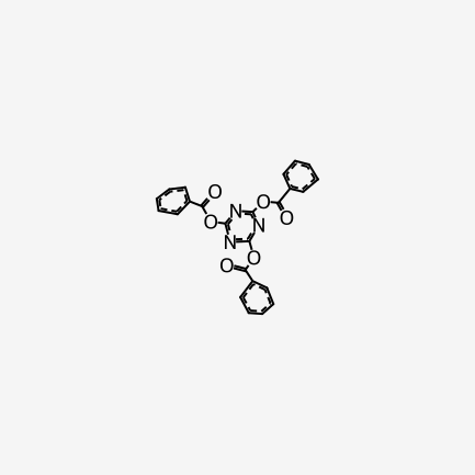 O=C(Oc1nc(OC(=O)c2ccccc2)nc(OC(=O)c2ccccc2)n1)c1ccccc1